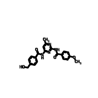 COc1ccc(C(=O)Nc2nc(C)cc(NC(=O)c3ccc(CO)cc3)n2)cc1